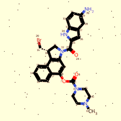 CN1CCN(C(=O)Oc2cc3c(c4ccccc24)[C@H](CBr)CN3C(=O)c2cc3cc(N)ccc3[nH]2)CC1